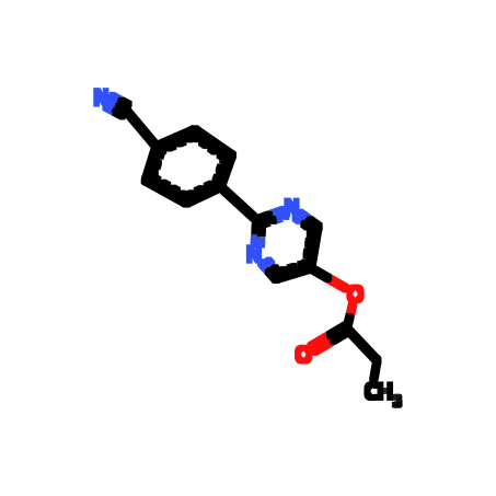 CCC(=O)Oc1cnc(-c2ccc(C#N)cc2)nc1